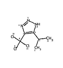 CC(C)c1[nH]nnc1C(Cl)(Cl)Cl